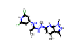 CCN(N/C(=C\C#N)Nc1cc(Cl)nc(Cl)c1)c1cc(C(C)C)c2c(C)nn(C)c2n1